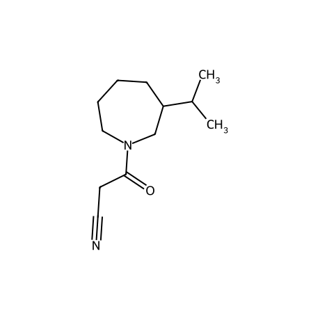 CC(C)C1CCCCN(C(=O)CC#N)C1